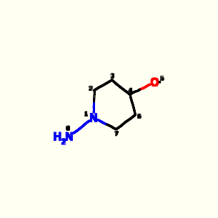 NN1CCC([O])CC1